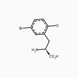 N[C@@H](Cc1cc(Br)ccc1Cl)C(=O)O